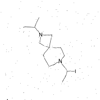 CC(C)N1CC2(CCN(C(C)I)CC2)C1